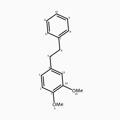 COc1ccc([CH]Cc2ccccc2)cc1OC